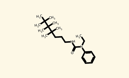 CCN(C(=O)NCCCC(C)(C)C(C)(C)C(C)(C)C)c1ccccc1